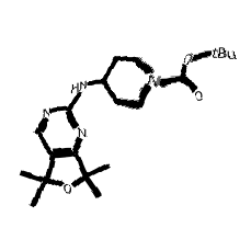 CC(C)(C)OC(=O)N1CCC(Nc2ncc3c(n2)C(C)(C)OC3(C)C)CC1